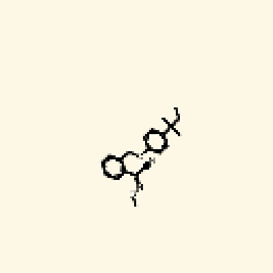 CCC(C)(C)c1ccc(OCc2ccccc2/C(C#N)=N\OC)cc1